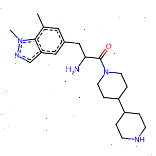 Cc1cc(CC(N)C(=O)N2CCC(C3CCNCC3)CC2)cc2cnn(C)c12